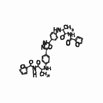 C[C@H](Nc1ccc(-c2nnc(-c3ccc(N[C@@H](C)C(=O)NC(=O)c4ccco4)cc3)o2)cc1)C(=O)NC(=O)c1ccco1